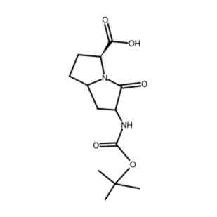 CC(C)(C)OC(=O)NC1CC2CC[C@@H](C(=O)O)N2C1=O